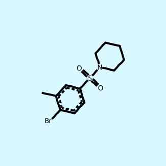 Cc1cc(S(=O)(=O)N2CCCCC2)ccc1Br